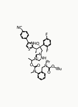 CC(C)N(Cc1ccccc1N(C)C(=O)OC(C)[N+]1=CN(C[C@](O)(c2cc(F)ccc2F)[C@@H](C)c2nc(-c3ccc(C#N)cc3)cs2)NC1)C(=O)OC(C)(C)C